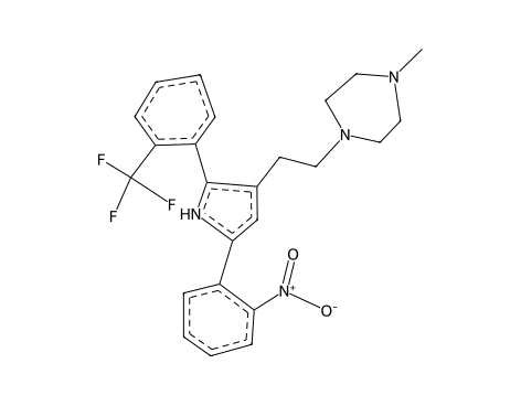 CN1CCN(CCc2cc(-c3ccccc3[N+](=O)[O-])[nH]c2-c2ccccc2C(F)(F)F)CC1